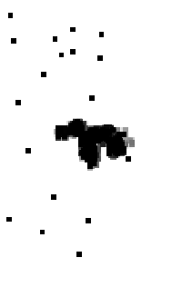 CC1(NC(=O)c2ccc3c(-c4cccc(C#N)c4)nn(-c4ccc(F)cc4)c3c2)CCS(=O)(=O)C1